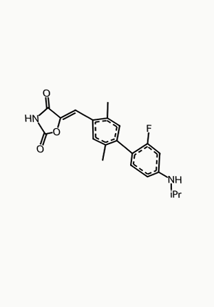 Cc1cc(-c2ccc(NC(C)C)cc2F)c(C)cc1C=C1OC(=O)NC1=O